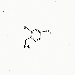 [2H]c1cc(C(F)(F)F)ccc1CN